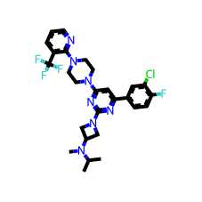 CC(C)N(C)C1CN(c2nc(-c3ccc(F)c(Cl)c3)cc(N3CCN(c4ncccc4C(F)(F)F)CC3)n2)C1